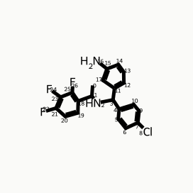 CC(NC(c1ccc(Cl)cc1)c1cccc(N)c1)c1ccc(F)c(F)c1F